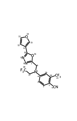 N#Cc1ccc(N(Cc2nnc(-c3ccoc3)o2)CC(F)(F)F)cc1C(F)(F)F